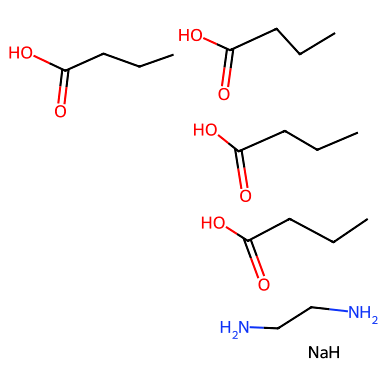 CCCC(=O)O.CCCC(=O)O.CCCC(=O)O.CCCC(=O)O.NCCN.[NaH]